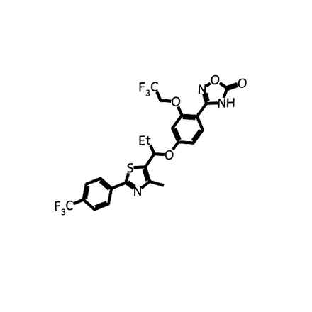 CCC(Oc1ccc(-c2noc(=O)[nH]2)c(OCC(F)(F)F)c1)c1sc(-c2ccc(C(F)(F)F)cc2)nc1C